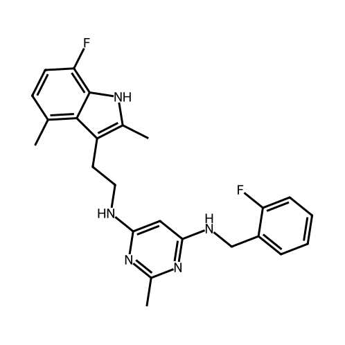 Cc1nc(NCCc2c(C)[nH]c3c(F)ccc(C)c23)cc(NCc2ccccc2F)n1